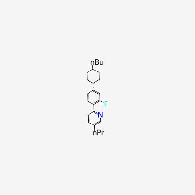 CCCC[C@H]1CC[C@H](c2ccc(-c3ccc(CCC)cn3)c(F)c2)CC1